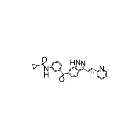 O=C(c1cccc(NC(=O)C2CC2)c1)c1ccc2c(/C=C/c3ccccn3)n[nH]c2c1